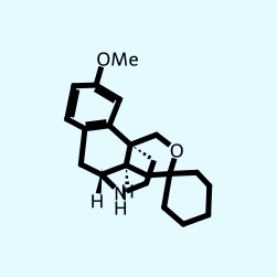 COc1ccc2c(c1)[C@]13CCN[C@H](C2)[C@@H]1CC1(CCCCC1)OC3